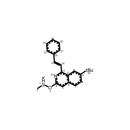 C[SiH](C)Oc1cc2ccc(C(C)(C)C)cc2c(C=Cc2ccccc2)n1